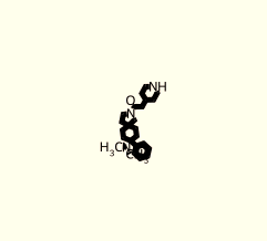 CN(C)C1(c2ccccc2)CCC2(CCN(C(=O)CC3CCNCC3)C2)CC1